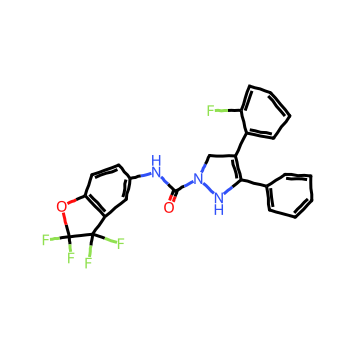 O=C(Nc1ccc2c(c1)C(F)(F)C(F)(F)O2)N1CC(c2ccccc2F)=C(c2ccccc2)N1